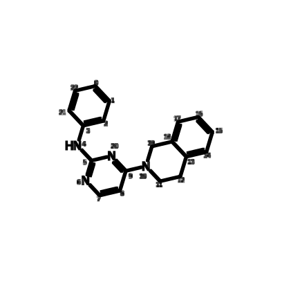 c1ccc(Nc2nccc(N3CCc4ccccc4C3)n2)cc1